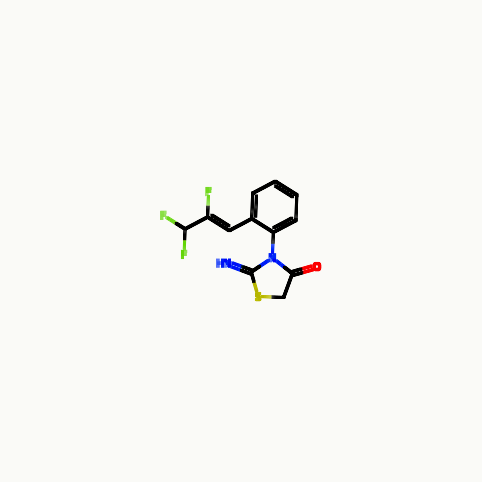 N=C1SCC(=O)N1c1ccccc1C=C(F)C(F)F